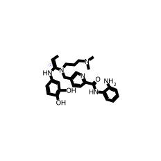 C/C=C(/Nc1ccc(O)c(O)c1)N(CCCN(C)C)Cc1ccc(C(=O)Nc2ccccc2N)nc1